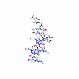 CN(C)c1ccc(/C=C\CN(c2ncccn2)C(O)C(=O)NC(C(=O)NC(NC(=N)N)C(=O)NC(NC(=N)N)C(=O)NC(NC(=N)N)C(=O)NC(NC(=N)N)C(N)=O)c2ccccc2)cc1